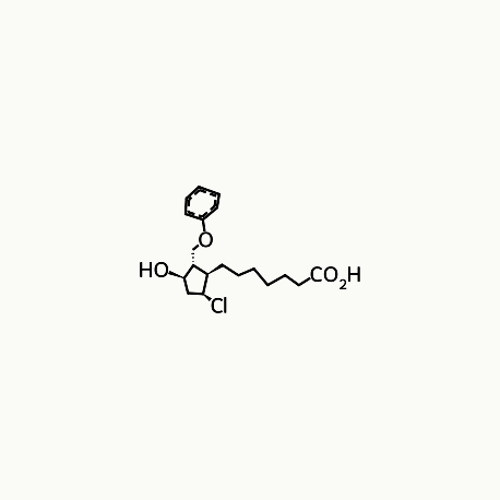 O=C(O)CCCCCC[C@@H]1[C@@H](COc2ccccc2)[C@H](O)C[C@@H]1Cl